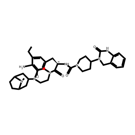 CCc1cc(C[C@@H](NC(=O)N2CCC(N3Cc4ccccc4NC3=O)CC2)C(=O)N2CCN(C3CC4CCC(C3)N4C)CC2)cc(Cl)c1N